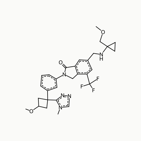 COCC1(NCc2cc3c(c(C(F)(F)F)c2)CN(c2cccc(C4(c5nncn5C)CC(OC)C4)c2)C3=O)CC1